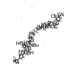 Cc1ncsc1-c1ccc(C(CO)NC(=O)[C@@H]2C[C@@H](O)CN2C(=O)C(NC(=O)CN2CCN(CCC3CCN(c4ccc(C(=O)N[C@H]5C(C)(C)[C@H](Oc6ccc(C#N)c(Cl)c6)C5(C)C)cn4)C3)CC2)C(C)(C)C)cc1